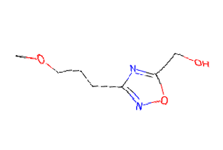 COCCCc1noc(CO)n1